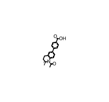 CC(=O)N1c2ccc(-c3ccc(C(=O)O)cc3)cc2CC[C@@H]1C